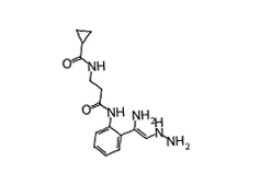 NN/C=C(\N)c1ccccc1NC(=O)CCNC(=O)C1CC1